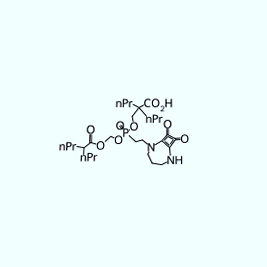 CCCC(CCC)C(=O)OCOP(=O)(CCN1CCCNc2c1c(=O)c2=O)OCC(CCC)(CCC)C(=O)O